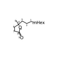 CCCCCCCCCC1(C)CCC(=O)O1